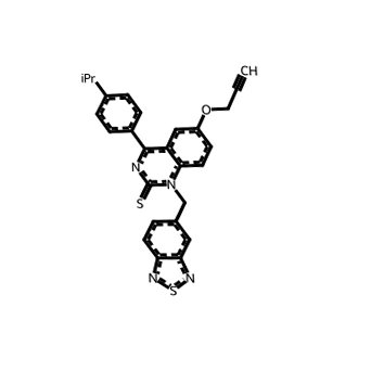 C#CCOc1ccc2c(c1)c(-c1ccc(C(C)C)cc1)nc(=S)n2Cc1ccc2nsnc2c1